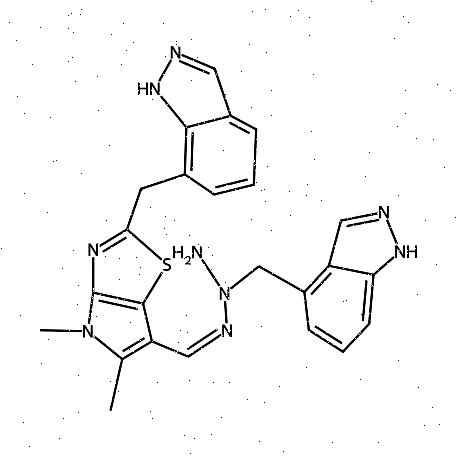 Cc1c(/C=N\N(N)Cc2cccc3[nH]ncc23)c2sc(Cc3cccc4cn[nH]c34)nc2n1C